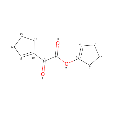 O=C(OC1=CCCC1)C(=O)C1=CCCC1